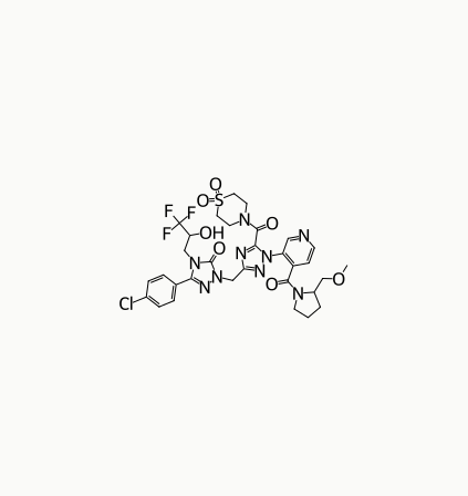 COCC1CCCN1C(=O)c1ccncc1-n1nc(Cn2nc(-c3ccc(Cl)cc3)n(CC(O)C(F)(F)F)c2=O)nc1C(=O)N1CCS(=O)(=O)CC1